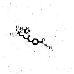 CCOC(=O)c1ccc(/C=C(/CCCC(C)(C)C)Cn2ccnc2)cc1